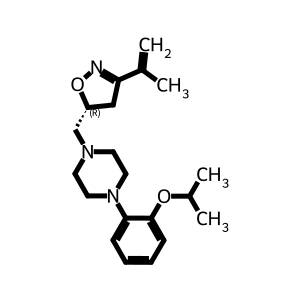 C=C(C)C1=NO[C@@H](CN2CCN(c3ccccc3OC(C)C)CC2)C1